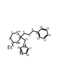 CCC1CCSC(CCCc2ccccc2)(Cn2ccnc2)S1